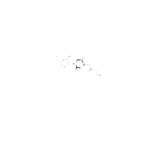 CCOC(=O)Nc1nc(=O)n([C@@H]2O[C@H](C)[C@@H](O)[C@H]2O)cc1F